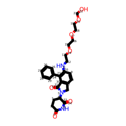 O=C1CCC(N2Cc3ccc(NCCOCCOCCOCO)c(-c4ccccc4)c3C2=O)C(=O)N1